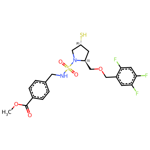 COC(=O)c1ccc(CNS(=O)(=O)N2C[C@H](S)C[C@H]2COCc2cc(F)c(F)cc2F)cc1